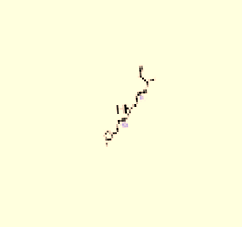 C=CC(C)/C=C/CN/C=C/COC